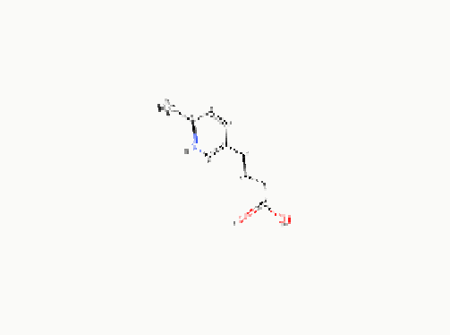 Cc1ccc(CCCC(=O)O)cn1